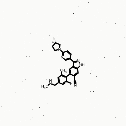 CNCc1cc(C)c(-c2cc3c(-c4ccc(N5CC[C@H](F)C5)nc4)n[nH]c3cc2C#N)c(F)c1